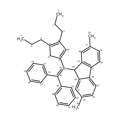 CCCC1=C(CCC)C[C]([Zr](=[C](c2ccccc2)c2ccccc2)[CH]2c3cc(C)ccc3-c3ccc(C)cc32)=C1